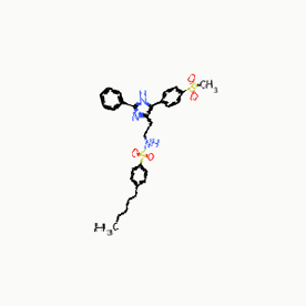 CCCCCc1ccc(S(=O)(=O)NCCc2nc(-c3ccccc3)[nH]c2-c2ccc(S(C)(=O)=O)cc2)cc1